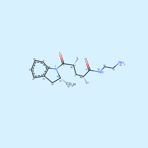 C[C@H](C[C@@H](C)C(=O)N1c2ccccc2C[C@H]1C(=O)O)C(=O)NCCN